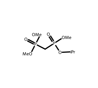 COP(=O)(CP(=O)(OC)OC(C)C)OC